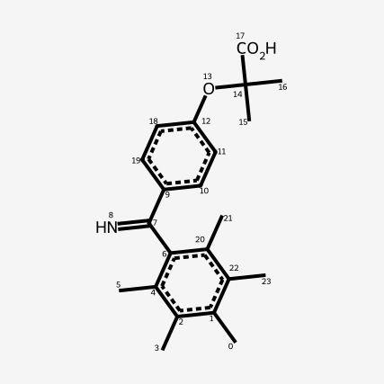 Cc1c(C)c(C)c(C(=N)c2ccc(OC(C)(C)C(=O)O)cc2)c(C)c1C